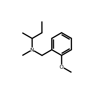 CCC(C)N(C)Cc1ccccc1OC